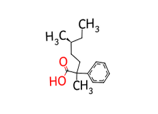 CC[C@H](C)CCC(C)(C(=O)O)c1ccccc1